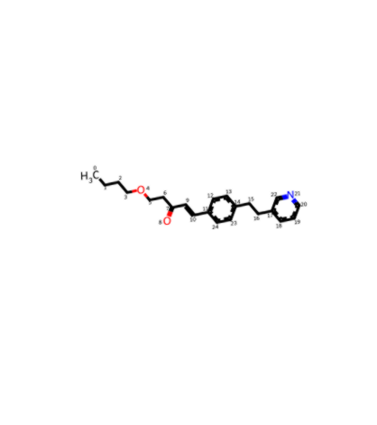 CCCCOCCC(=O)/C=C/c1ccc(CCc2cccnc2)cc1